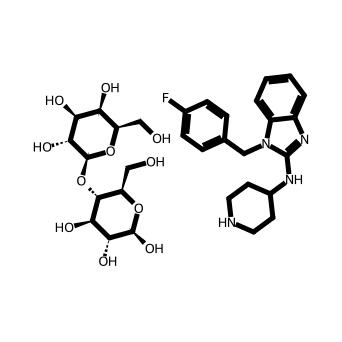 Fc1ccc(Cn2c(NC3CCNCC3)nc3ccccc32)cc1.OC[C@H]1O[C@@H](O[C@H]2[C@H](O)[C@@H](O)[C@H](O)O[C@@H]2CO)[C@H](O)[C@@H](O)[C@H]1O